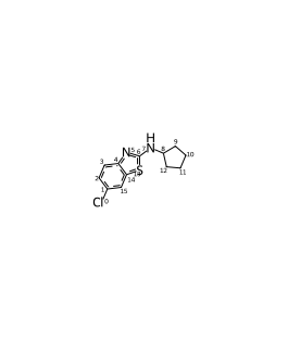 Clc1ccc2nc(NC3CCCC3)sc2c1